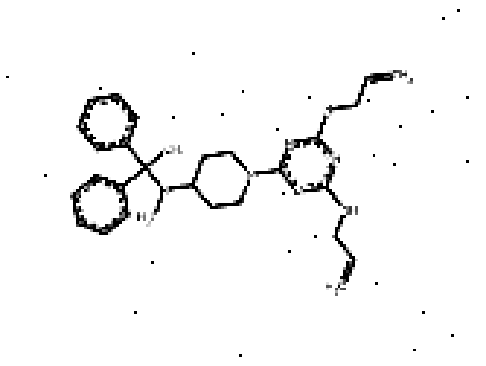 C=CCNc1nc(NCC=C)nc(N2CCC(N(C)C(C)(c3ccccc3)c3ccccc3)CC2)n1